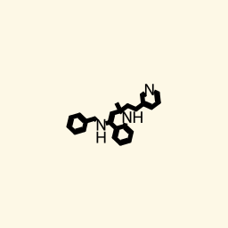 CC1(CCc2cccnc2)C=C(NCc2ccccc2)c2ccccc2N1